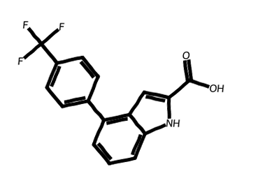 O=C(O)c1cc2c(-c3ccc(C(F)(F)F)cc3)cccc2[nH]1